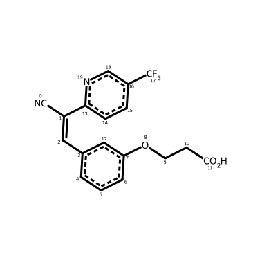 N#CC(=Cc1cccc(OCCC(=O)O)c1)c1ccc(C(F)(F)F)cn1